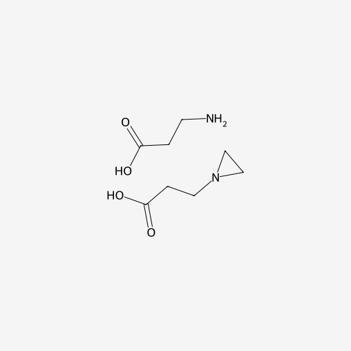 NCCC(=O)O.O=C(O)CCN1CC1